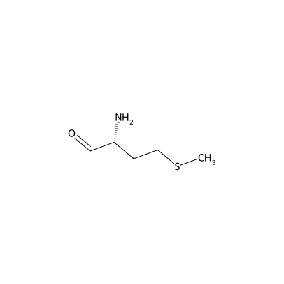 CSCC[C@@H](N)C=O